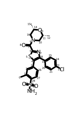 Cc1cc(-c2sc(C(=O)N3C[C@@H](C)O[C@@H](C)C3)nc2-c2ccc(Cl)cc2)ccc1S(N)(=O)=O